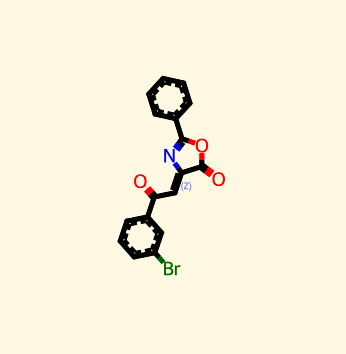 O=C1OC(c2ccccc2)=N/C1=C\C(=O)c1cccc(Br)c1